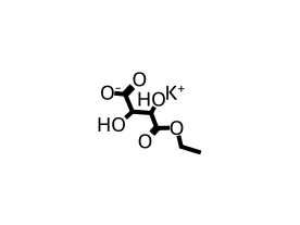 CCOC(=O)C(O)C(O)C(=O)[O-].[K+]